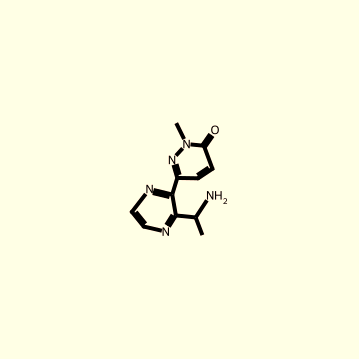 CC(N)c1nccnc1-c1ccc(=O)n(C)n1